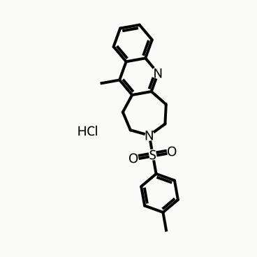 Cc1ccc(S(=O)(=O)N2CCc3nc4ccccc4c(C)c3CC2)cc1.Cl